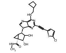 CNC(=O)[C@]12CC1[C@@H](n1cnc3c(NCC4CCC4)nc(C#Cc4ccc(Cl)s4)nc31)C(O)[C@@H]2O